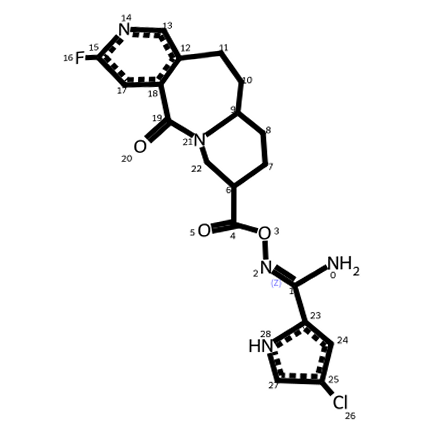 N/C(=N\OC(=O)C1CCC2CCc3cnc(F)cc3C(=O)N2C1)c1cc(Cl)c[nH]1